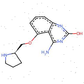 Nc1nc(O)nc2cccc(OC[C@H]3CCCN3)c12